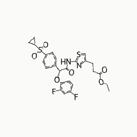 CCOC(=O)CCc1csc(NC(=O)C(Oc2ccc(F)cc2F)c2ccc(S(=O)(=O)C3CC3)cc2)n1